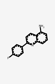 Nc1cccc2nc(-c3ccc(F)cc3)ccc12